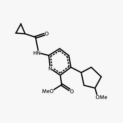 COC(=O)c1nc(NC(=O)C2CC2)ccc1C1CCC(OC)C1